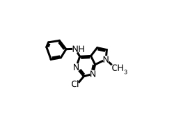 Cn1ccc2c(Nc3ccccc3)nc(Cl)nc21